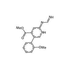 COC(=O)c1c/c(=N/C=N)[nH]cc1-c1ccccc1OC